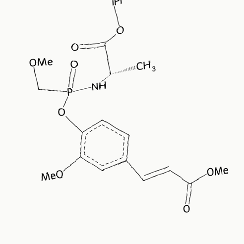 COCP(=O)(N[C@@H](C)C(=O)OC(C)C)Oc1ccc(/C=C/C(=O)OC)cc1OC